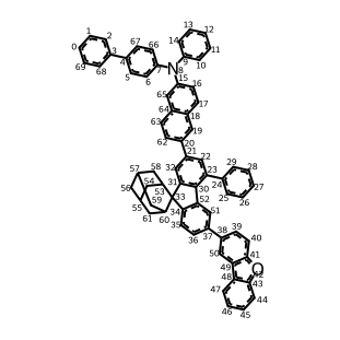 c1ccc(-c2ccc(N(c3ccccc3)c3ccc4cc(-c5cc(-c6ccccc6)c6c(c5)C5(c7ccc(-c8ccc9oc%10ccccc%10c9c8)cc7-6)C6CC7CC(C6)CC5C7)ccc4c3)cc2)cc1